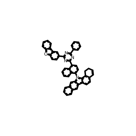 C1=Cc2ccc3c4cc5ccccc5cc4n(-c4ccc(-c5nc(-c6ccccc6)nc(-c6ccc7oc8ccccc8c7c6)n5)c5ccccc45)c3c2CC1